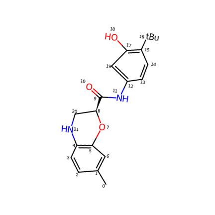 Cc1ccc2c(c1)O[C@H](C(=O)Nc1ccc(C(C)(C)C)c(O)c1)CN2